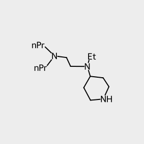 CCCN(CCC)CCN(CC)C1CCNCC1